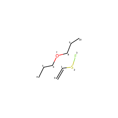 C=CSF.CCCOCCC